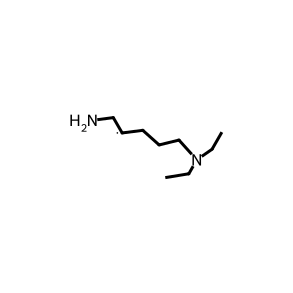 CCN(CC)CCC[CH]CN